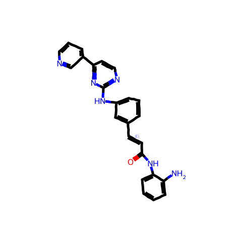 Nc1ccccc1NC(=O)/C=C/c1cccc(Nc2nccc(-c3cccnc3)n2)c1